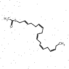 CC/C=C\C/C=C\C/C=C\C/C=C\CC/C=C/CSC(C)=O